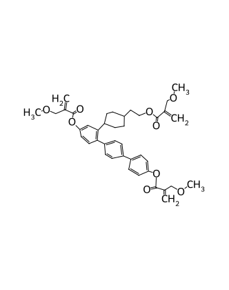 C=C(COC)C(=O)OCCC1CCC(c2cc(OC(=O)C(=C)COC)ccc2-c2ccc(-c3ccc(OC(=O)C(=C)COC)cc3)cc2)CC1